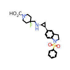 O=C(O)N1CCC(F)(CN[C@@H]2C[C@H]2c2ccc3c(c2)CCN3S(=O)(=O)c2ccccc2)CC1